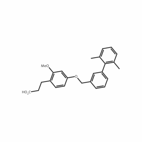 COc1cc(OCc2cccc(-c3c(C)cccc3C)c2)ccc1CCC(=O)O